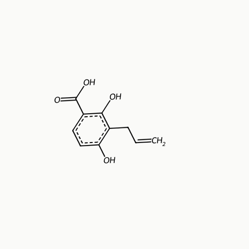 C=CCc1c(O)ccc(C(=O)O)c1O